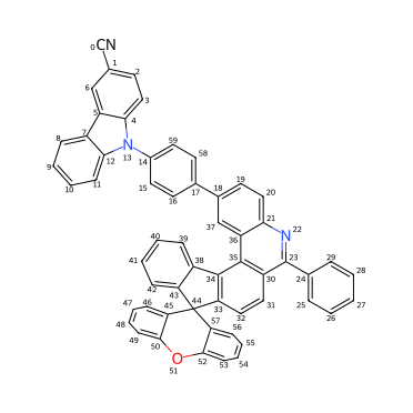 N#Cc1ccc2c(c1)c1ccccc1n2-c1ccc(-c2ccc3nc(-c4ccccc4)c4ccc5c(c4c3c2)-c2ccccc2C52c3ccccc3Oc3ccccc32)cc1